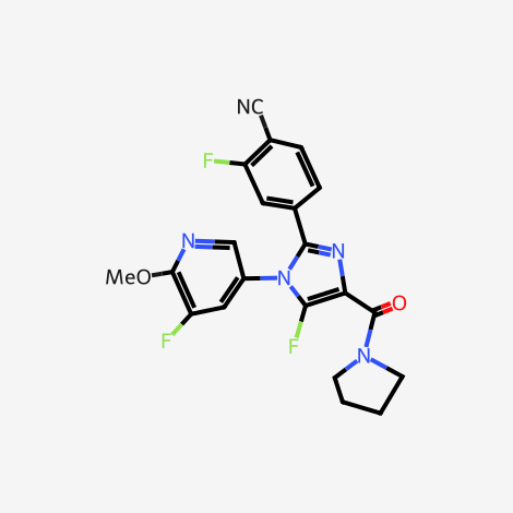 COc1ncc(-n2c(-c3ccc(C#N)c(F)c3)nc(C(=O)N3CCCC3)c2F)cc1F